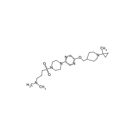 CN(C)CCCS(=O)(=O)N1CCN(c2cnc(OCC3CCN(C4(C)CC4)CC3)cn2)CC1